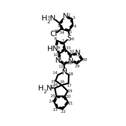 Nc1nccc(Sc2c[nH]c3nc(N4CCC5(CC4)Cc4ccccc4[C@H]5N)n4ccnc4c23)c1Cl